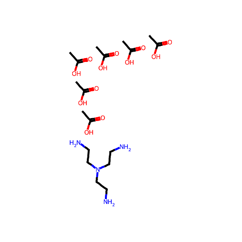 CC(=O)O.CC(=O)O.CC(=O)O.CC(=O)O.CC(=O)O.CC(=O)O.NCCN(CCN)CCN